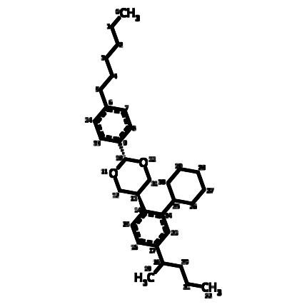 CCCCCCc1ccc([C@H]2OC[C@H](c3ccc(C(C)CCC)cc3C3CCCCC3)CO2)cc1